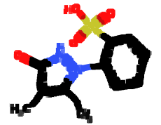 Cc1c(C)n(-c2ccccc2S(=O)(=O)O)[nH]c1=O